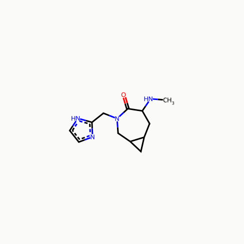 CNC1CC2CC2CN(Cc2ncc[nH]2)C1=O